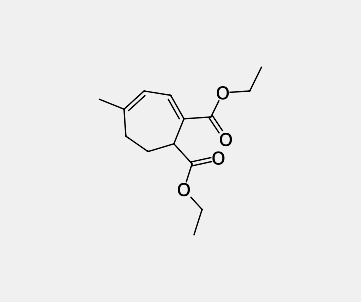 CCOC(=O)C1=CC=C(C)CCC1C(=O)OCC